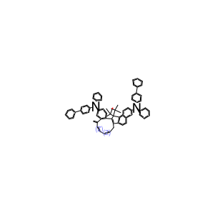 C=C1/C=C\C=C/CC2=C(c3ccc(N(c4ccccc4)c4ccc(-c5ccccc5)cc4)cc31)C(C(C)(C)C)(C(C)(C)C)c1c2ccc2cc(N(c3ccccc3)c3ccc(-c4ccccc4)cc3)ccc12